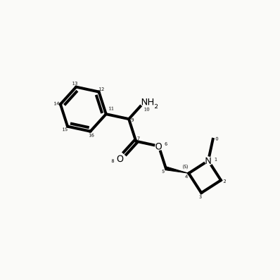 CN1CC[C@H]1COC(=O)C(N)c1ccccc1